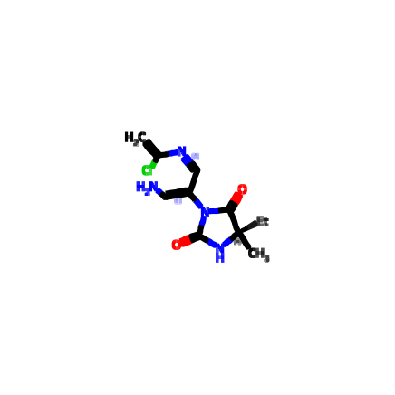 C=C(Cl)/N=C\C(=C/N)N1C(=O)N[C@](C)(CC)C1=O